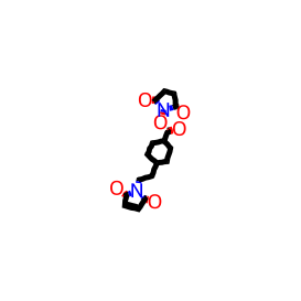 O=C(ON1C(=O)CCC1=O)C1CCC(CCN2C(=O)C=CC2=O)CC1